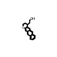 OCCC1CCOc2cc3cc4ccccc4cc3cc21